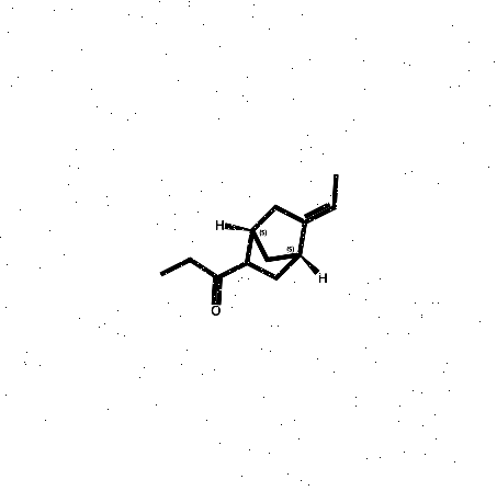 CC=C1C[C@@H]2C[C@H]1CC2C(=O)CC